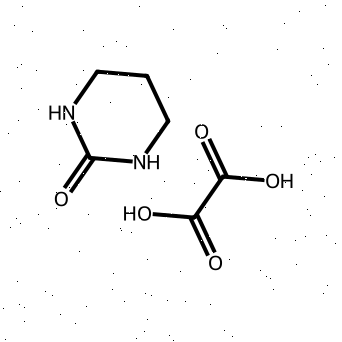 O=C(O)C(=O)O.O=C1NCCCN1